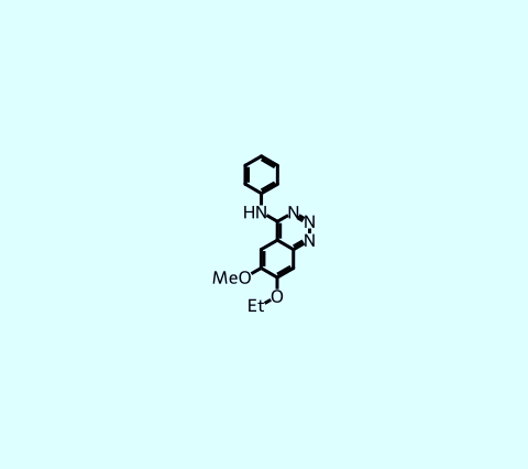 CCOc1cc2nnnc(Nc3ccccc3)c2cc1OC